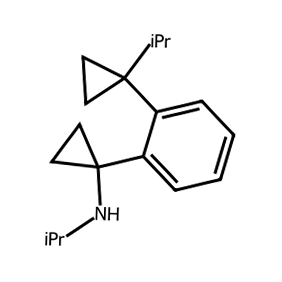 CC(C)NC1(c2ccccc2C2(C(C)C)CC2)CC1